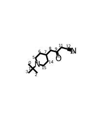 CC(C)(C)N1CCC(CC(=O)CC#N)CC1